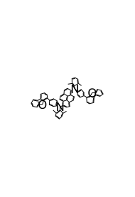 Cc1cccc(C)c1N(c1ccc(-c2cccc3c2oc2ccccc23)cc1)c1ccc2ccc3c(N(c4ccc(-c5cccc6c5oc5ccccc56)cc4)c4c(C)cccc4C)ccc4ccc1c2c43